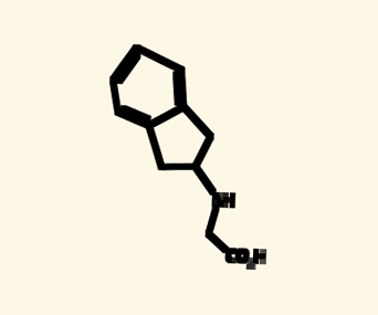 O=C(O)CNC1Cc2ccccc2C1